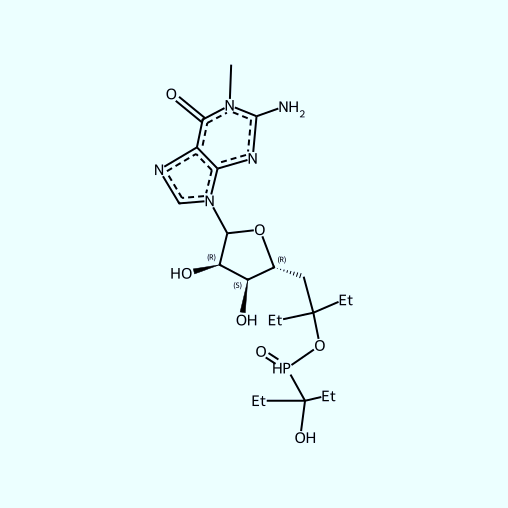 CCC(CC)(C[C@H]1OC(n2cnc3c(=O)n(C)c(N)nc32)[C@H](O)[C@@H]1O)O[PH](=O)C(O)(CC)CC